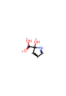 O=C(O)C1(O)C=CC=N1